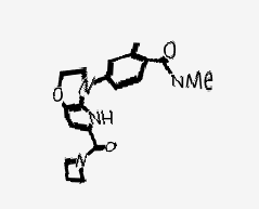 CNC(=O)c1ccc(N2CCOc3cc(C(=O)N4CCC4)[nH]c32)cc1C